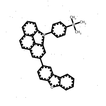 C[Si](C)(C)c1ccc(-n2c3cccc4ccc5cc(-c6ccc7oc8ccccc8c7c6)cc2c5c43)cc1